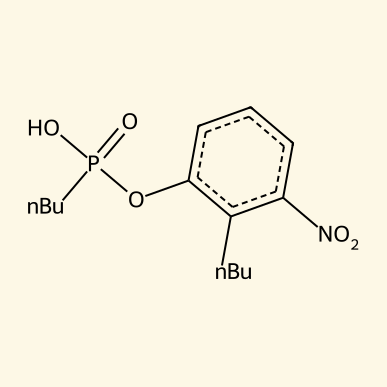 CCCCc1c(OP(=O)(O)CCCC)cccc1[N+](=O)[O-]